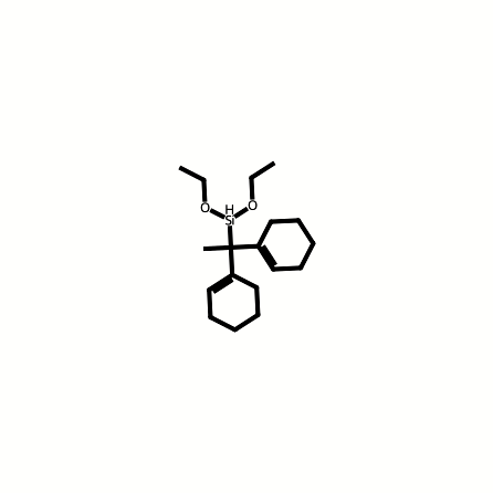 CCO[SiH](OCC)C(C)(C1=CCCCC1)C1=CCCCC1